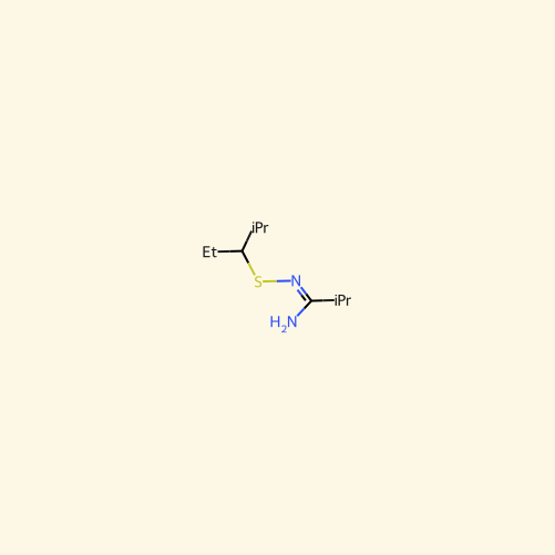 CCC(S/N=C(\N)C(C)C)C(C)C